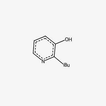 C[CH]C(C)c1ncccc1O